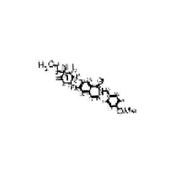 C=CCC1(N)CCC(Oc2cc3ccn(Cc4ccc(OC)cc4)c(=O)c3cc2C)CC1